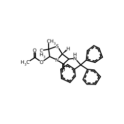 CC(=O)OC1N2C(=O)C(NC(c3ccccc3)(c3ccccc3)c3ccccc3)[C@H]2SC1(C)C